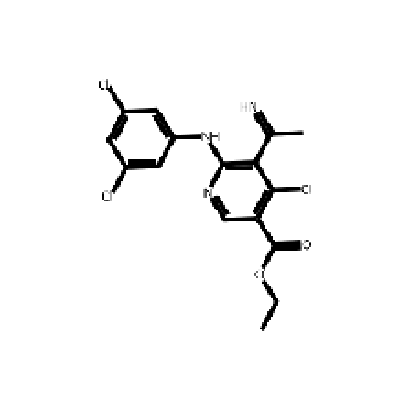 CCOC(=O)c1cnc(Nc2cc(Cl)cc(Cl)c2)c(C(C)=N)c1Cl